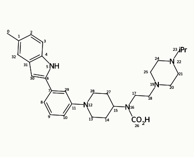 Cc1ccc2[nH]c(-c3cccc(N4CCC(N(CCN5CCN(C(C)C)CC5)C(=O)O)CC4)c3)cc2c1